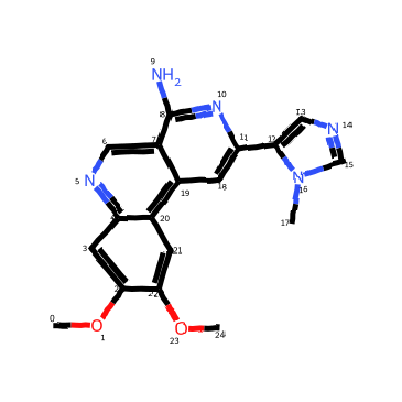 COc1cc2ncc3c(N)nc(-c4cncn4C)cc3c2cc1OC